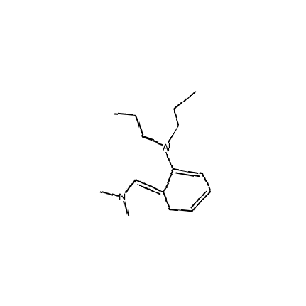 CC[CH2][Al]([CH2]CC)[C]1=CC=CCC1=CN(C)C